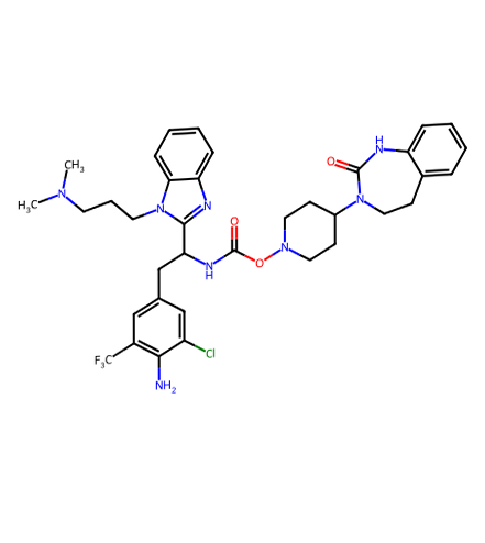 CN(C)CCCn1c(C(Cc2cc(Cl)c(N)c(C(F)(F)F)c2)NC(=O)ON2CCC(N3CCc4ccccc4NC3=O)CC2)nc2ccccc21